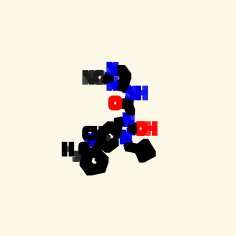 CN(C)[C@]1(c2ccccc2)CC[C@]2(CC1)CN(CC(=O)Nc1ccnc(C#N)n1)C(O)N2CC1CCC1